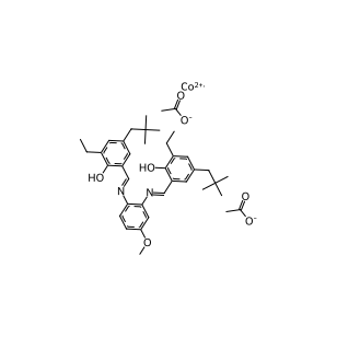 CC(=O)[O-].CC(=O)[O-].CCc1cc(CC(C)(C)C)cc(C=Nc2ccc(OC)cc2N=Cc2cc(CC(C)(C)C)cc(CC)c2O)c1O.[Co+2]